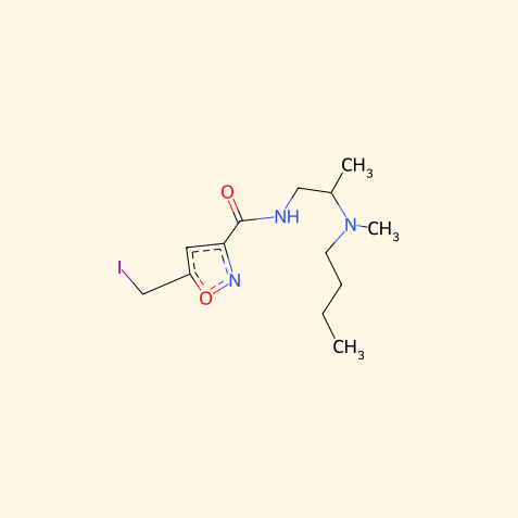 CCCCN(C)C(C)CNC(=O)c1cc(CI)on1